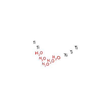 O.O.O.O.O.[Ti].[Ti].[Ti].[Ti].[Ti]